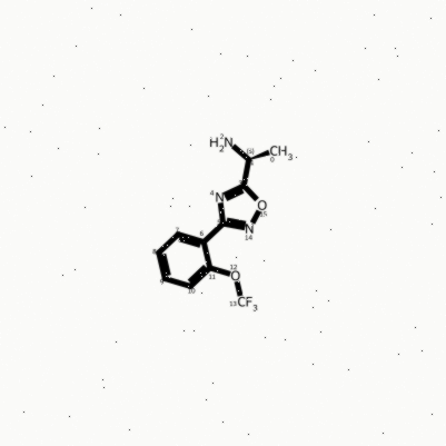 C[C@H](N)c1nc(-c2ccccc2OC(F)(F)F)no1